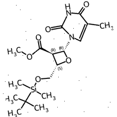 COC(=O)[C@H]1[C@H](n2cc(C)c(=O)[nH]c2=O)O[C@@H]1CO[Si](C)(C)C(C)(C)C